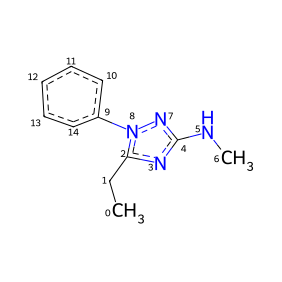 CCc1nc(NC)nn1-c1ccccc1